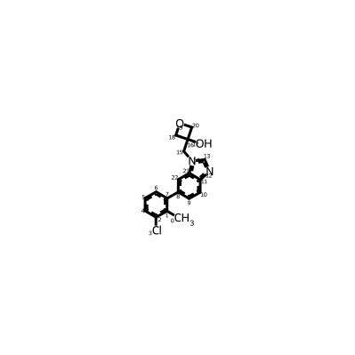 Cc1c(Cl)cccc1-c1ccc2ncn(CC3(O)COC3)c2c1